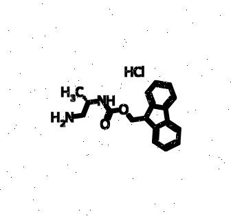 C[C@@H](CN)NC(=O)OCC1c2ccccc2-c2ccccc21.Cl